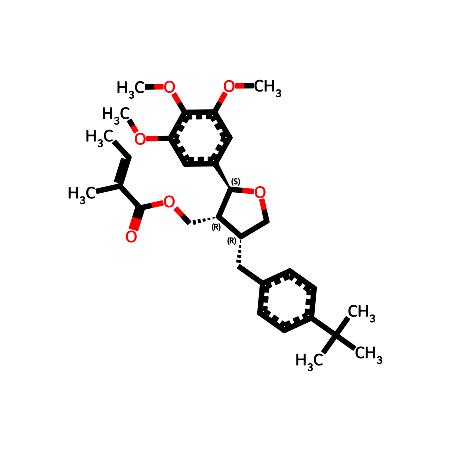 CC=C(C)C(=O)OC[C@H]1[C@@H](Cc2ccc(C(C)(C)C)cc2)CO[C@@H]1c1cc(OC)c(OC)c(OC)c1